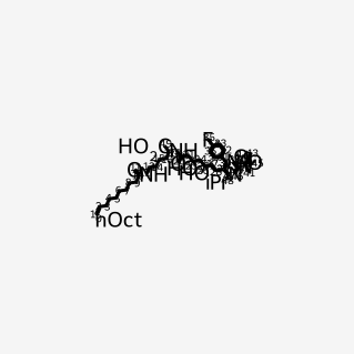 CCCCCCCC/C=C\CCCCCCCC(=O)NCCCCC(NC(=O)C[C@H](O)C[C@H](O)/C=C/c1c(-c2ccc(F)cc2)nc(N(C)S(C)(=O)=O)nc1C(C)C)C(=O)O